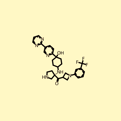 O=C(C1CN(c2cccc(C(F)(F)F)c2)C1)[C@]1(NC2CCC(O)(c3ccc(-c4ncccn4)cn3)CC2)CCNC1